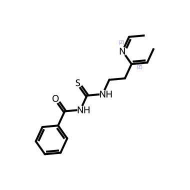 C/C=N\C(=C/C)CCNC(=S)NC(=O)c1ccccc1